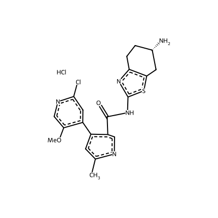 COc1cnc(Cl)cc1-c1cc(C)ncc1C(=O)Nc1nc2c(s1)C[C@@H](N)CC2.Cl